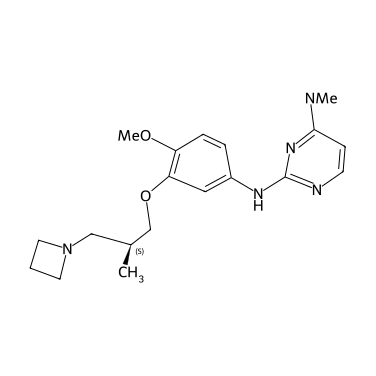 CNc1ccnc(Nc2ccc(OC)c(OC[C@@H](C)CN3CCC3)c2)n1